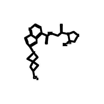 N#C[C@@H]1CSCN1C(=O)CNC(=O)c1ccnc2ccc(N3CC4(CC(C(F)(F)F)C4)C3)cc12